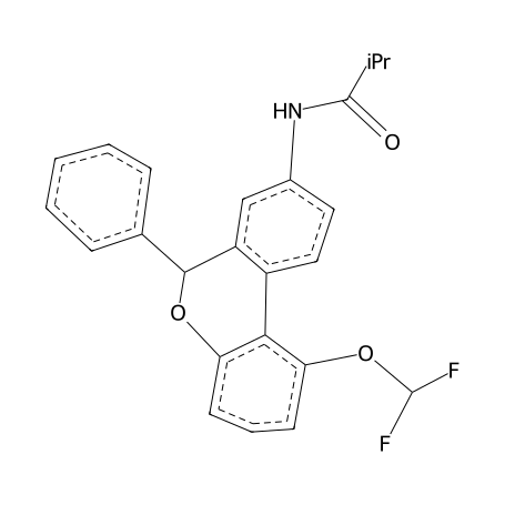 CC(C)C(=O)Nc1ccc2c(c1)C(c1ccccc1)Oc1cccc(OC(F)F)c1-2